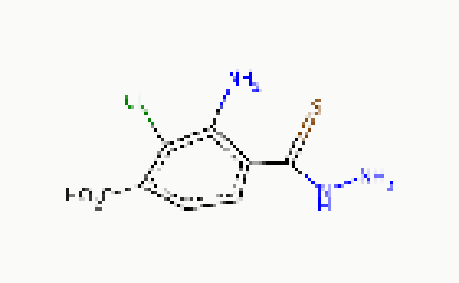 NNC(=S)c1ccc(C(=O)O)c(Cl)c1N